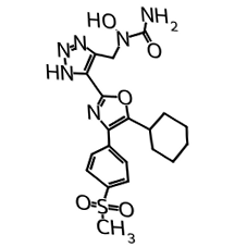 CS(=O)(=O)c1ccc(-c2nc(-c3[nH]nnc3CN(O)C(N)=O)oc2C2CCCCC2)cc1